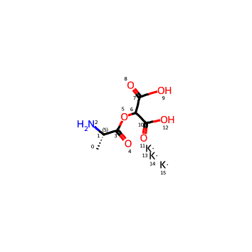 C[C@H](N)C(=O)OC(C(=O)O)C(=O)O.[K].[K].[K]